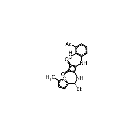 CC[C@@H](Nc1c(Nc2cccc(C(C)=O)c2O)c(=O)c1=O)c1ccc(C)o1